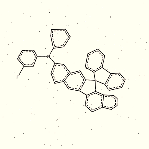 Fc1cccc(N(c2ccccc2)c2ccc3cc4c(cc3c2)C2(c3ccccc3-c3ccccc32)c2c-4ccc3ccccc23)c1